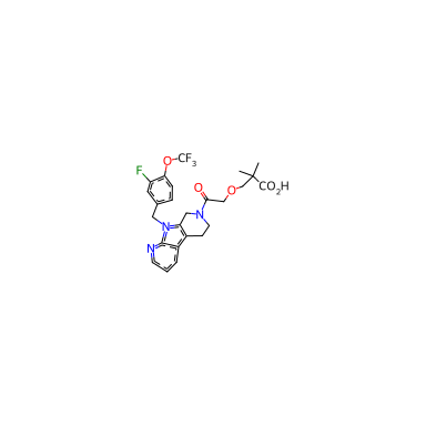 CC(C)(COCC(=O)N1CCc2c(n(Cc3ccc(OC(F)(F)F)c(F)c3)c3ncccc23)C1)C(=O)O